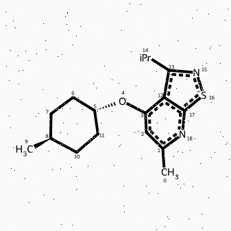 Cc1cc(O[C@H]2CC[C@H](C)CC2)c2c(C(C)C)nsc2n1